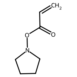 C=CC(=O)ON1CCCC1